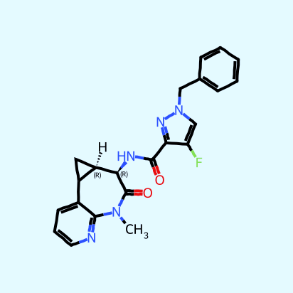 CN1C(=O)[C@H](NC(=O)c2nn(Cc3ccccc3)cc2F)[C@@H]2CC2c2cccnc21